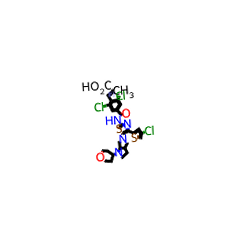 C/C(=C\c1c(Cl)cc(C(=O)Nc2nc(-c3cc(Cl)cs3)c(N3CC4CCN(C5CCOCC5)C4C3)s2)cc1Cl)C(=O)O